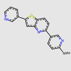 CNc1ccc(-c2ccc3sc(-c4cccnc4)cc3n2)cn1